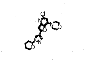 Clc1cc(N2CCOCC2)c2oc(-c3cnn(C4CCCCO4)c3)cc2n1